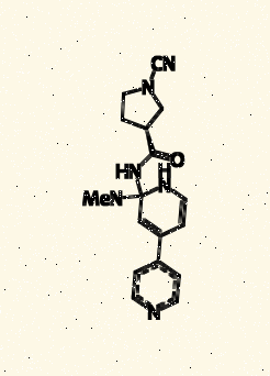 CNC1(NC(=O)[C@H]2CCN(C#N)C2)C=C(c2ccncc2)C=CN1